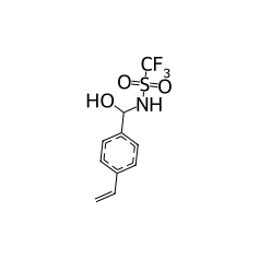 C=Cc1ccc(C(O)NS(=O)(=O)C(F)(F)F)cc1